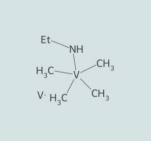 CC[NH][V]([CH3])([CH3])([CH3])[CH3].[V]